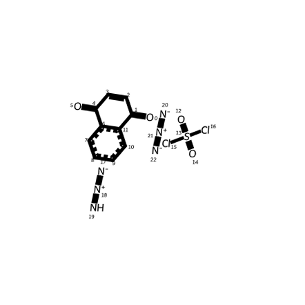 O=C1C=CC(=O)c2ccccc21.O=S(=O)(Cl)Cl.[N-]=[N+]=N.[N-]=[N+]=[N-]